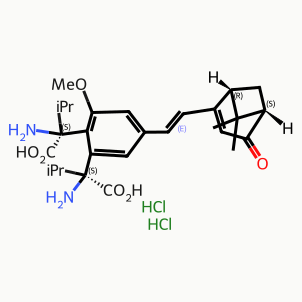 COc1cc(/C=C/C2=CC(=O)[C@H]3C[C@@H]2C3(C)C)cc([C@](N)(C(=O)O)C(C)C)c1[C@](N)(C(=O)O)C(C)C.Cl.Cl